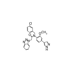 COc1cc(-c2cn[nH]c2)ccc1N(Cc1cccc(Cl)c1)C(=O)Cn1nnc2ccccc21